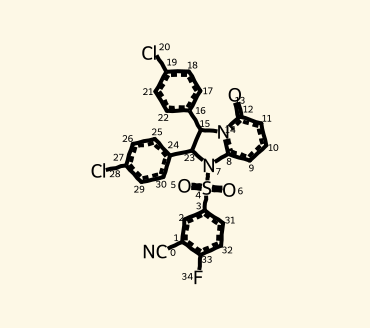 N#Cc1cc(S(=O)(=O)N2c3cccc(=O)n3C(c3ccc(Cl)cc3)C2c2ccc(Cl)cc2)ccc1F